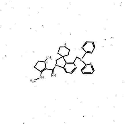 CNC1=C(C(=N)N2CC3(CCNCC3)c3c(CN(c4ccccn4)c4ccccn4)cccc32)[C@H](C)CC1